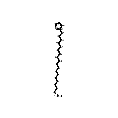 CC(C)(C)CCCCCCCCCCCCCCCCCCc1cccs1